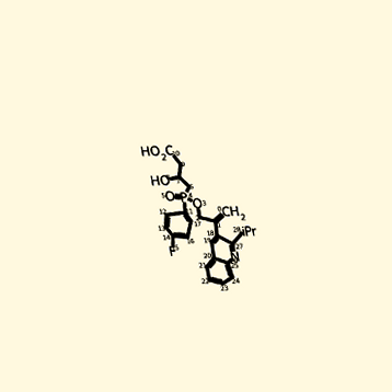 C=C(COP(=O)(CC(O)CC(=O)O)c1ccc(F)cc1)c1cc2ccccc2nc1C(C)C